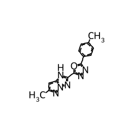 Cc1ccc(-c2nnc(-c3nn4nc(C)cc4[nH]3)o2)cc1